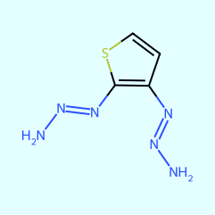 NN=Nc1ccsc1N=NN